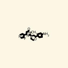 Cn1c(N2CCOC(c3ccc(N)cc3)C2)nc(-c2ccncc2F)cc1=O